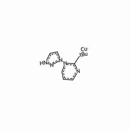 CC(C)(C)c1ncccn1.[Cu].c1c[nH]nn1